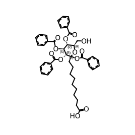 O=C(O)CCCCCCCCC[C@]1(OC(=O)c2ccccc2)O[C@H](CO)[C@@H](OC(=O)c2ccccc2)[C@H](OC(=O)c2ccccc2)[C@H]1OC(=O)c1ccccc1